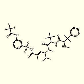 CNC(C(=O)NC(C(=O)N(C)C(C=C(C)C(=O)NS(=O)(=O)c1cccc(NC(=O)C(F)(F)F)c1)C(C)C)C(C)(C)C)C(C)(C)c1ccccc1